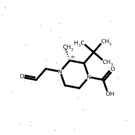 C[C@@H]1C(C(C)(C)C)N(C(=O)O)CCN1CC=O